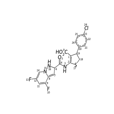 O=C(O)C1=C(NC(=O)C2C=C3C(F)=CC(F)=CN3N2)SCC1c1ccc(Cl)cc1